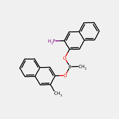 CB(Oc1cc2ccccc2cc1C)Oc1cc2ccccc2cc1P